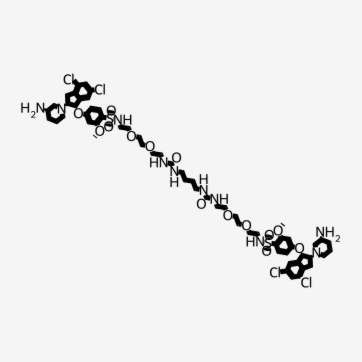 COc1cc(O[C@H]2c3cc(Cl)cc(Cl)c3C[C@@H]2N2CCC[C@@H](N)C2)ccc1S(=O)(=O)NCCOCCOCCNC(=O)NCCCCNC(=O)NCCOCCOCCNS(=O)(=O)c1ccc(O[C@H]2c3cc(Cl)cc(Cl)c3C[C@@H]2N2CCC[C@@H](N)C2)cc1OC